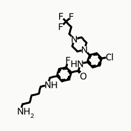 NCCCCCNCc1ccc(C(=O)Nc2ccc(Cl)cc2N2CCN(CCC(F)(F)F)CC2)c(F)c1